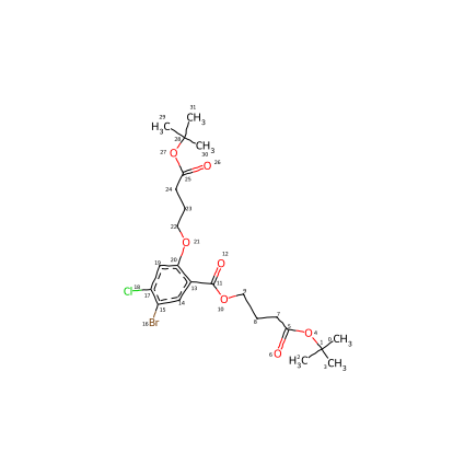 CC(C)(C)OC(=O)CCCOC(=O)c1cc(Br)c(Cl)cc1OCCCC(=O)OC(C)(C)C